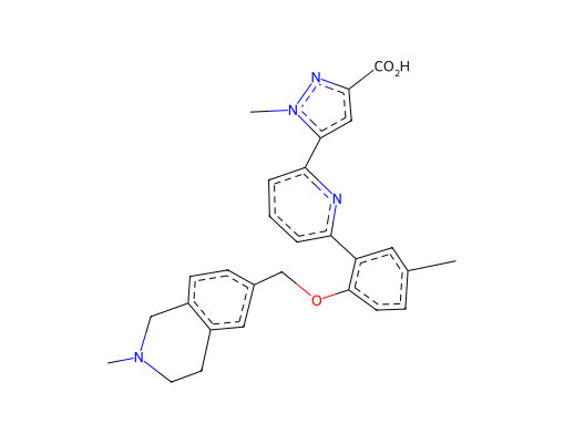 Cc1ccc(OCc2ccc3c(c2)CCN(C)C3)c(-c2cccc(-c3cc(C(=O)O)nn3C)n2)c1